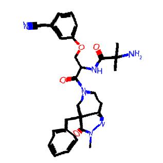 CN1N=C2CCN(C(=O)C(COc3cccc(C#N)c3)NC(=O)C(C)(C)N)CC2(Cc2ccccc2)C1=O